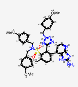 COc1ccc(CN(Cc2ccc(OC)cc2)S(=O)(=O)c2c(C(F)(F)F)ccc(-c3ccnc4nc(N)[nH]c34)c2-c2nnn(Cc3ccc(OC)cc3)n2)cc1